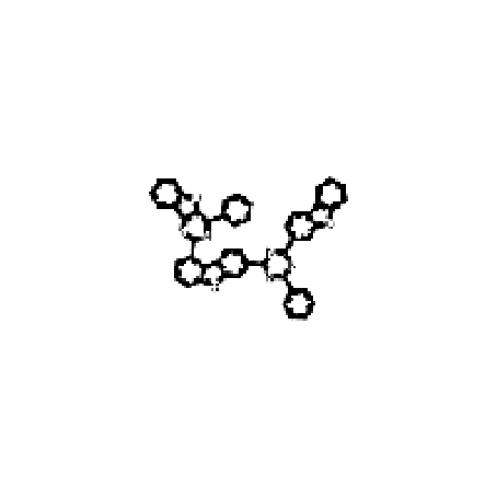 c1ccc(-c2nc(-c3ccc4c(c3)oc3ccccc34)nc(-c3ccc4c(c3)oc3cccc(-c5nc(-c6ccccc6)c6oc7ccccc7c6n5)c34)n2)cc1